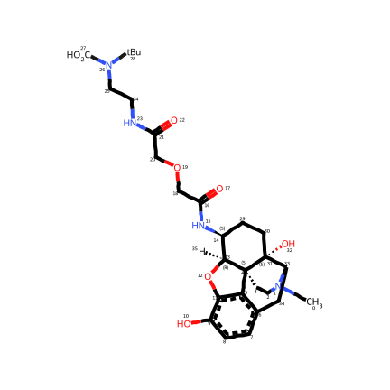 CN1CC[C@]23c4c5ccc(O)c4O[C@H]2[C@@H](NC(=O)COCC(=O)NCCN(C(=O)O)C(C)(C)C)CC[C@@]3(O)C1C5